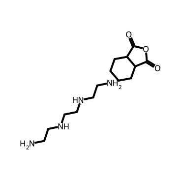 NCCNCCNCCN.O=C1OC(=O)C2CCCCC12